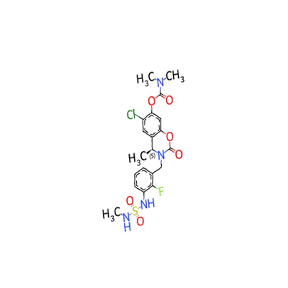 CNS(=O)(=O)Nc1cccc(CN2C(=O)Oc3cc(OC(=O)N(C)C)c(Cl)cc3[C@@H]2C)c1F